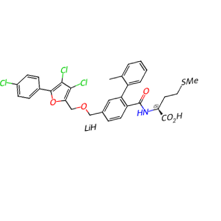 CSCC[C@H](NC(=O)c1ccc(COCc2oc(-c3ccc(Cl)cc3)c(Cl)c2Cl)cc1-c1ccccc1C)C(=O)O.[LiH]